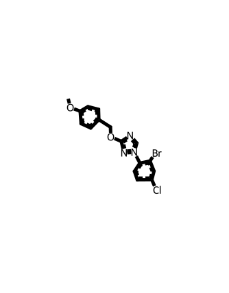 COc1ccc(COc2ncn(-c3ccc(Cl)cc3Br)n2)cc1